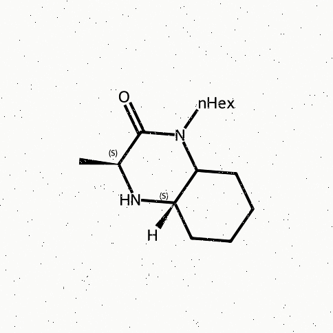 CCCCCCN1C(=O)[C@H](C)N[C@H]2CCCCC21